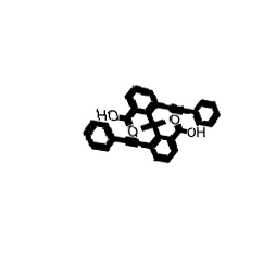 CC(C)(c1c(C#Cc2ccccc2)cccc1C(=O)O)c1c(C#Cc2ccccc2)cccc1C(=O)O